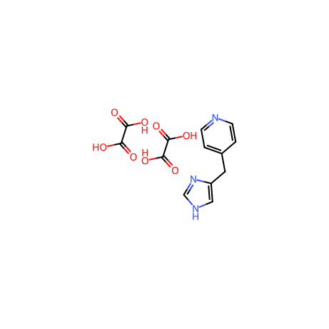 O=C(O)C(=O)O.O=C(O)C(=O)O.c1cc(Cc2c[nH]cn2)ccn1